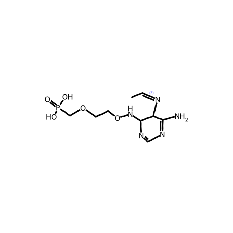 C/C=N\C1C(N)=NC=NC1NOCCOCP(=O)(O)O